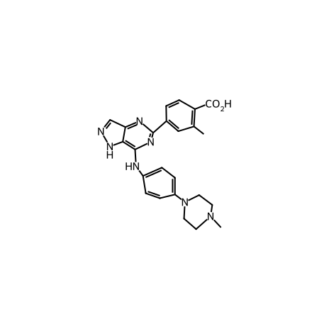 Cc1cc(-c2nc(Nc3ccc(N4CCN(C)CC4)cc3)c3[nH]ncc3n2)ccc1C(=O)O